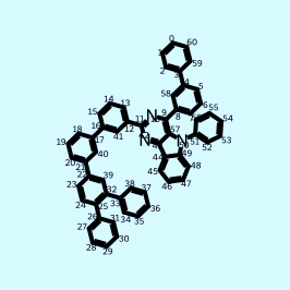 c1ccc(-c2cccc(-c3nc(-c4cccc(-c5cccc(-c6ccc(-c7ccccc7)c(-c7ccccc7)c6)c5)c4)nc4c5ccccc5n(-c5ccccc5)c34)c2)cc1